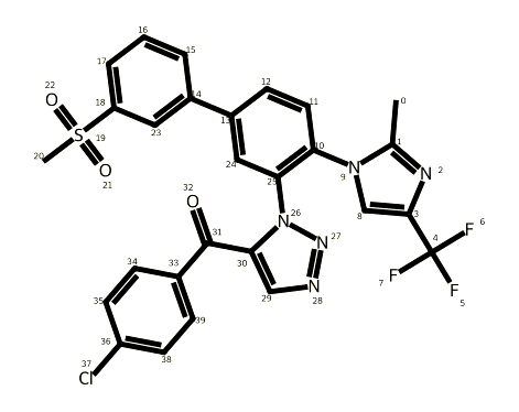 Cc1nc(C(F)(F)F)cn1-c1ccc(-c2cccc(S(C)(=O)=O)c2)cc1-n1nncc1C(=O)c1ccc(Cl)cc1